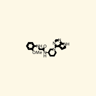 COc1ccccc1NCC(=O)N[C@@H]1CCCN(c2ncnc3[nH]ccc23)C1